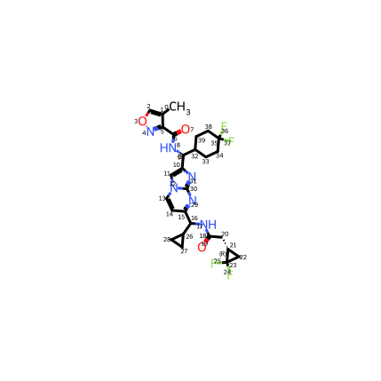 Cc1conc1C(=O)N[C@H](c1cn2ccc(C(NC(=O)C[C@@H]3CC3(F)F)C3CC3)nc2n1)C1CCC(F)(F)CC1